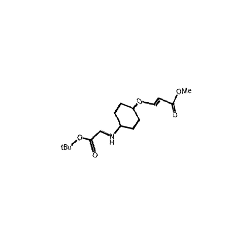 COC(=O)/C=C/OC1CCC(NCC(=O)OC(C)(C)C)CC1